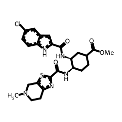 COC(=O)C1CC[C@@H](NC(=O)c2nc3c(s2)CN(C)CC3)[C@@H](NC(=O)c2cc3cc(Cl)ccc3[nH]2)C1